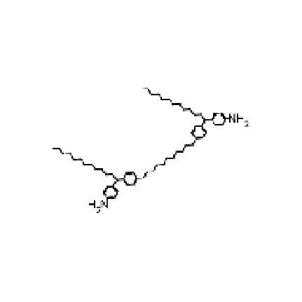 CCCCCCCCCCCCC(c1ccc(N)cc1)c1ccc(CCCCCCCCCCCc2ccc(C(CCCCCCCCCCCC)c3ccc(N)cc3)cc2)cc1